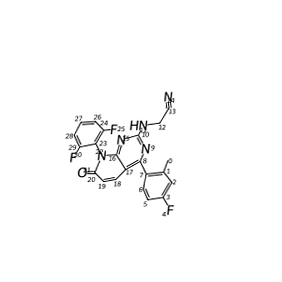 Cc1cc(F)ccc1-c1nc(NCC#N)nc2c1ccc(=O)n2-c1c(F)cccc1F